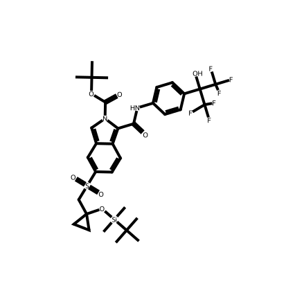 CC(C)(C)OC(=O)n1cc2cc(S(=O)(=O)CC3(O[Si](C)(C)C(C)(C)C)CC3)ccc2c1C(=O)Nc1ccc(C(O)(C(F)(F)F)C(F)(F)F)cc1